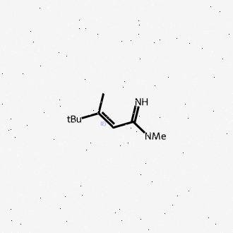 CNC(=N)/C=C(\C)C(C)(C)C